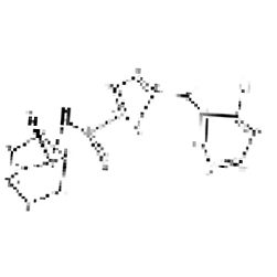 O=C(N[C@H]1CN2CCC1CC2)c1ccc(Sc2ccccc2Cl)o1